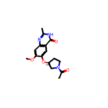 COc1cc2nc(C)[nH]c(=O)c2cc1O[C@H]1CCN(C(C)=O)C1